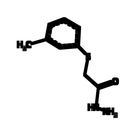 Cc1cccc(SCC(=O)NN)c1